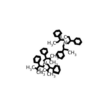 CC(C)C([CH2][Al]([CH2]C(c1ccccc1)C(C)C)[CH2]C(c1ccccc1)C(C)C)c1ccccc1.CCC([CH2][Al]([CH2]C(CC)c1ccccc1)[CH2]C(CC)c1ccccc1)c1ccccc1